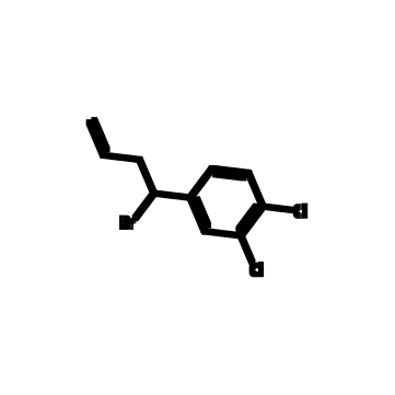 C=CCC(Br)c1ccc(Cl)c(Cl)c1